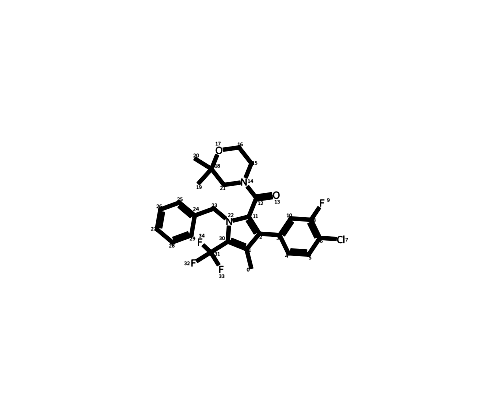 Cc1c(-c2ccc(Cl)c(F)c2)c(C(=O)N2CCOC(C)(C)C2)n(Cc2ccccc2)c1C(F)(F)F